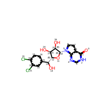 O=c1[nH]cnc2c1ccn2[C@@H]1O[C@H](C(O)c2ccc(Cl)c(Cl)c2)[C@@H](O)[C@H]1O